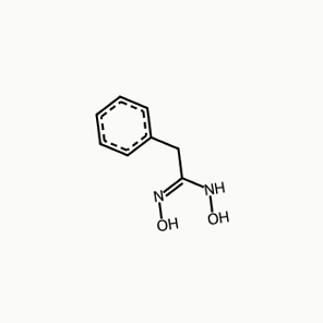 ON=C(Cc1ccccc1)NO